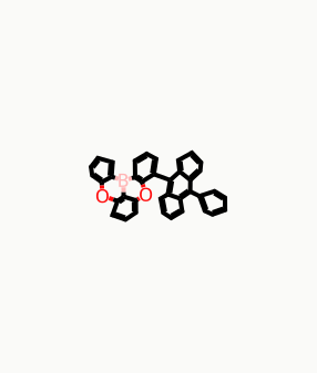 c1ccc(-c2c3ccccc3c(-c3cccc4c3Oc3cccc5c3B4c3ccccc3O5)c3ccccc23)cc1